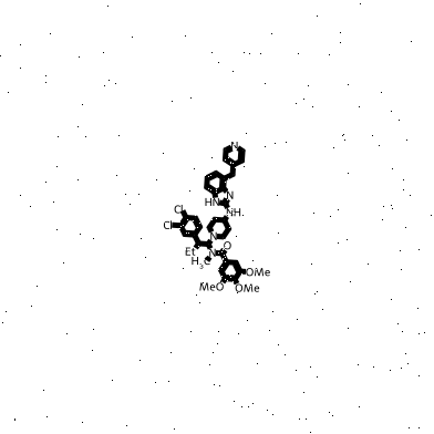 CCC(c1ccc(Cl)c(Cl)c1)C(N1CCC(Nc2nc3c(Cc4ccncc4)cccc3[nH]2)CC1)N(C)C(=O)c1cc(OC)c(OC)c(OC)c1